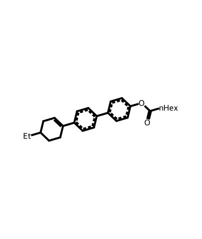 CCCCCCC(=O)Oc1ccc(-c2ccc(C3=CCC(CC)CC3)cc2)cc1